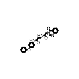 O=C(Cn1cnc2ccccc2c1=O)NCCC(=O)Nc1ccc(Oc2ccccc2)cc1